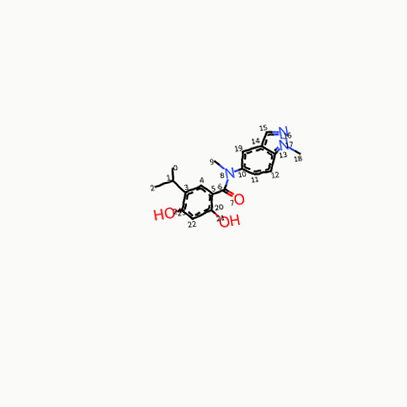 CC(C)c1cc(C(=O)N(C)c2ccc3c(cnn3C)c2)c(O)cc1O